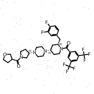 O=C(C1CCOC1)N1CC[C@H](N2CCN([C@H]3CCN(C(=O)c4cc(C(F)(F)F)cc(C(F)(F)F)c4)[C@H](Cc4ccc(F)c(F)c4)C3)CC2)C1